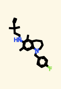 C#CC(C)(C)CCNc1c(C)cc2c(c1C)CCCCN2Cc1ccc(F)cc1